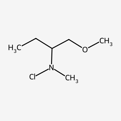 CCC(COC)N(C)Cl